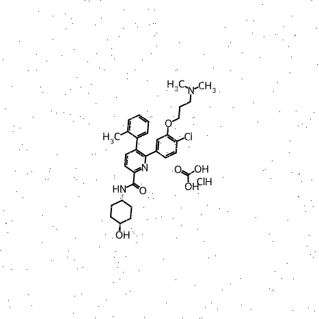 Cc1ccccc1-c1ccc(C(=O)N[C@H]2CC[C@H](O)CC2)nc1-c1ccc(Cl)c(OCCCN(C)C)c1.Cl.O=C(O)O